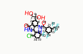 CC(O)(CO)c1cc(NC(=O)c2cc(F)cc(C(F)(F)F)c2)c2c(c1)C(=O)NC2c1cc(F)ccc1Cl